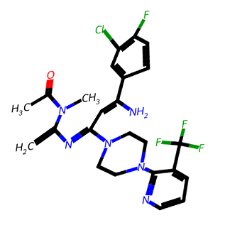 C=C(/N=C(\C=C(/N)c1ccc(F)c(Cl)c1)N1CCN(c2ncccc2C(F)(F)F)CC1)N(C)C(C)=O